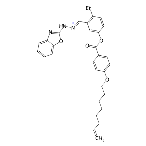 C=CCCCCCCOc1ccc(C(=O)Oc2ccc(CC)c(/C=N/Nc3nc4ccccc4o3)c2)cc1